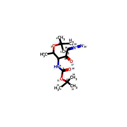 CC(OC(C)(C)C)C(NC(=O)OC(C)(C)C)C(=O)C=[N+]=[N-]